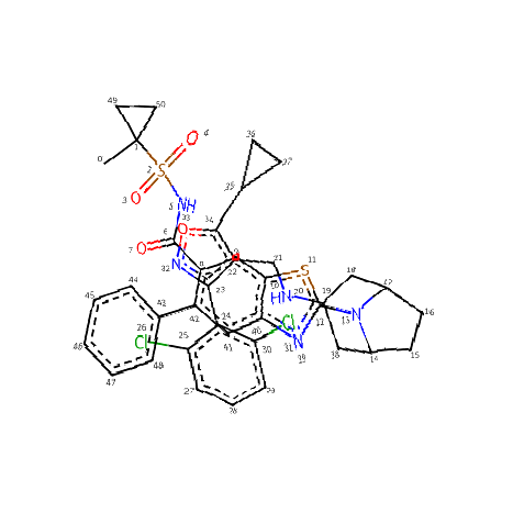 CC1(S(=O)(=O)NC(=O)c2cc3sc(N4C5CCC4CC(NCc4c(-c6c(Cl)cccc6Cl)noc4C4CC4)C5)nc3cc2-c2ccccc2)CC1